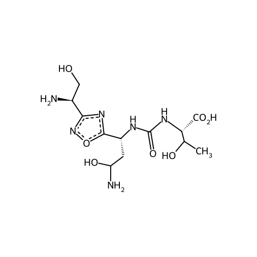 CC(O)[C@H](NC(=O)N[C@H](CC(N)O)c1nc([C@@H](N)CO)no1)C(=O)O